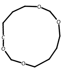 C1CCOCOCCCCOCOC1